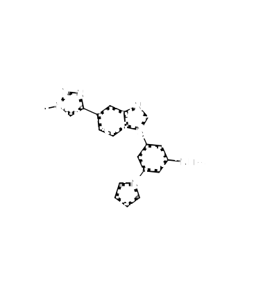 CC(=O)Nc1cc(-n2cccc2)cc(-n2cnc3cc(-c4cn(C)nn4)ccc32)c1